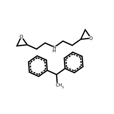 C(CC1CO1)NCCC1CO1.CC(c1ccccc1)c1ccccc1